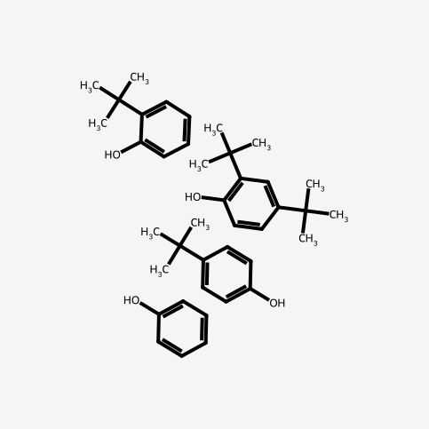 CC(C)(C)c1ccc(O)c(C(C)(C)C)c1.CC(C)(C)c1ccc(O)cc1.CC(C)(C)c1ccccc1O.Oc1ccccc1